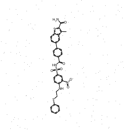 Cc1c(C(N)=O)sc2ccc(-c3ccc(C(=O)NS(=O)(=O)c4ccc(NCCSc5ccccc5)c([N+](=O)[O-])c4)cc3)cc12